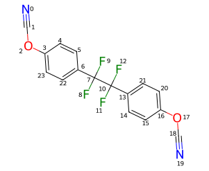 N#COc1ccc(C(F)(F)C(F)(F)c2ccc(OC#N)cc2)cc1